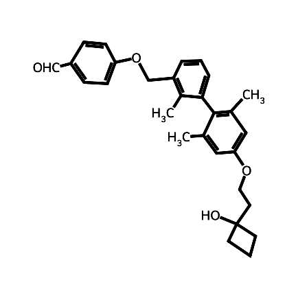 Cc1cc(OCCC2(O)CCC2)cc(C)c1-c1cccc(COc2ccc(C=O)cc2)c1C